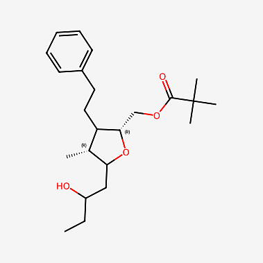 CCC(O)CC1O[C@@H](COC(=O)C(C)(C)C)C(CCc2ccccc2)[C@H]1C